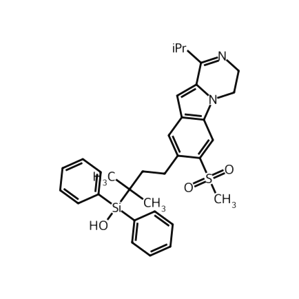 CC(C)C1=NCCn2c1cc1cc(CCC(C)(C)[Si](O)(c3ccccc3)c3ccccc3)c(S(C)(=O)=O)cc12